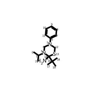 CC(C)N1CN(c2ccccc2)CSC1(N)C(C)(C)C